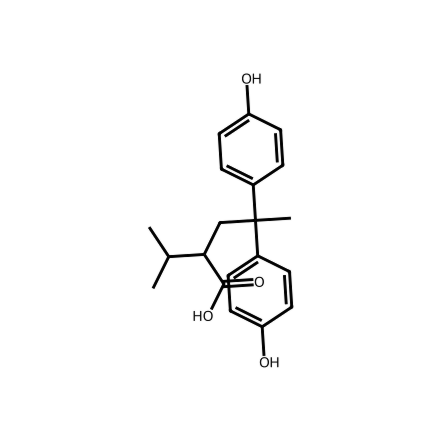 CC(C)C(CC(C)(c1ccc(O)cc1)c1ccc(O)cc1)C(=O)O